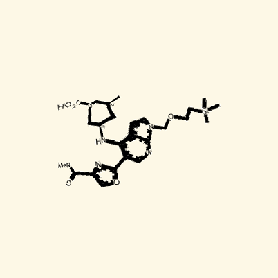 CNC(=O)c1coc(-c2cnc3c(ccn3COCC[Si](C)(C)C)c2N[C@@H]2C[C@H](C)CN(C(=O)O)C2)n1